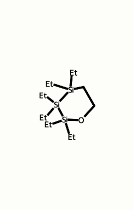 CC[Si]1(CC)CCO[Si](CC)(CC)[Si]1(CC)CC